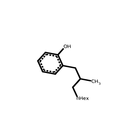 CCCCCCCC(C)Cc1ccccc1O